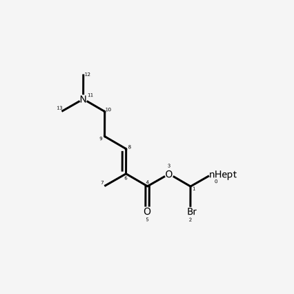 CCCCCCCC(Br)OC(=O)C(C)=CCCN(C)C